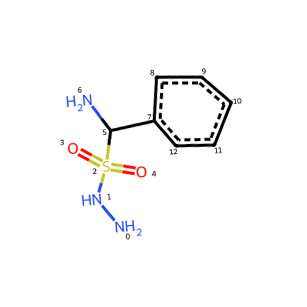 NNS(=O)(=O)C(N)c1ccccc1